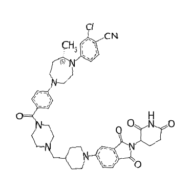 C[C@H]1CCN(c2ccc(C(=O)N3CCN(CC4CCN(c5ccc6c(c5)C(=O)N(C5CCC(=O)NC5=O)C6=O)CC4)CC3)cc2)CCN1c1ccc(C#N)c(Cl)c1